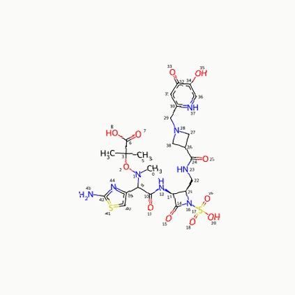 CN(OC(C)(C)C(=O)O)C(C(=O)N[C@@H]1C(=O)N(S(=O)(=O)O)[C@@H]1CNC(=O)C1CN(Cc2cc(=O)c(O)c[nH]2)C1)c1csc(N)n1